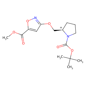 COC(=O)c1cc(OC[C@H]2CCCN2C(=O)OC(C)(C)C)no1